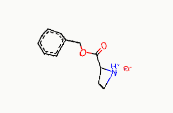 O=C(OCc1ccccc1)C1CC[NH+]1[O-]